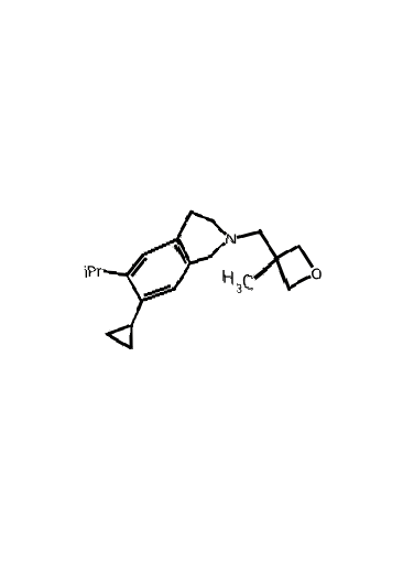 CC(C)c1cc2c(cc1C1CC1)CN(CC1(C)COC1)CC2